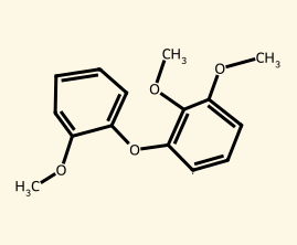 COc1ccccc1Oc1[c]ccc(OC)c1OC